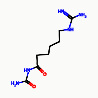 N=C(N)NCCCCCC(=O)NC(N)=O